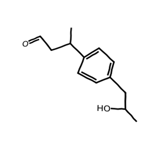 CC(O)Cc1ccc(C(C)CC=O)cc1